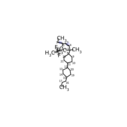 C/C=C(\C=C/C(C)(C)C1CCC(C2CCC(CCC)CC2)CC1)OC(C)(F)F